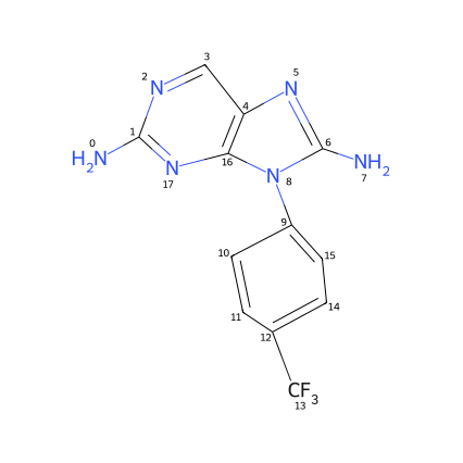 Nc1ncc2nc(N)n(-c3ccc(C(F)(F)F)cc3)c2n1